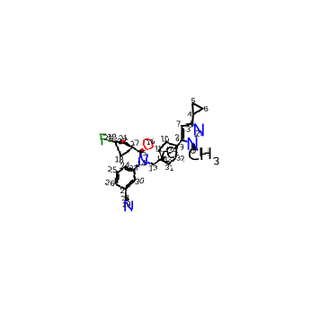 Cn1nc(C2CC2)cc1C12CCC(CN(C(=O)C34CC(F)(C3)C4)c3cccc(C#N)c3)(CC1)CC2